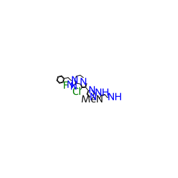 CN/C(=C\C=N)Nc1nccc(-c2cn3c(c2Cl)-c2nnc(Cc4ccccc4F)n2CCC3)n1